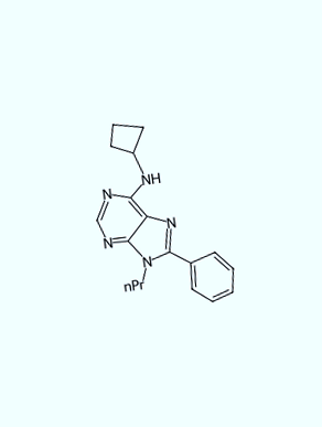 CCCn1c(-c2ccccc2)nc2c(NC3CCC3)ncnc21